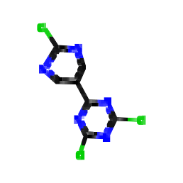 Clc1ncc(-c2nc(Cl)nc(Cl)n2)cn1